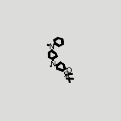 CN(c1ccccc1)c1ccc(N(C)c2ccc(O[Si](C)(C)C(C)(C)C)cc2)cc1